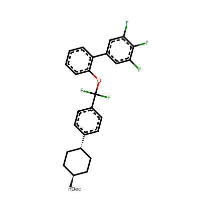 CCCCCCCCCC[C@H]1CC[C@H](c2ccc(C(F)(F)Oc3ccccc3-c3cc(F)c(F)c(F)c3)cc2)CC1